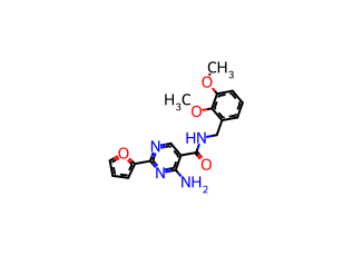 COc1cccc(CNC(=O)c2cnc(-c3ccco3)nc2N)c1OC